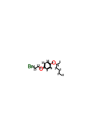 CCCCC(C)Oc1ccc(OCCBr)cc1